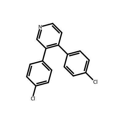 Clc1ccc(-c2ccncc2-c2ccc(Cl)cc2)cc1